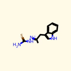 C/C(Cc1c[nH]c2ccccc12)=N\NC(N)=S